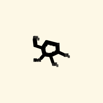 C=Cc1cnc(C)c(C)c1NC